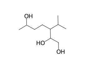 CC(O)CCC(C(C)C)C(O)CO